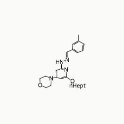 CCCCCCCOc1cc(N2CCOCC2)cc(N/N=C/c2cccc(C)c2)n1